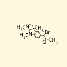 CC(=O)C(Br)c1ccc2c(c1)C1(C)CCN(C)C1N2C